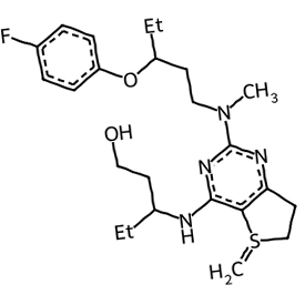 C=S1CCc2nc(N(C)CCC(CC)Oc3ccc(F)cc3)nc(NC(CC)CCO)c21